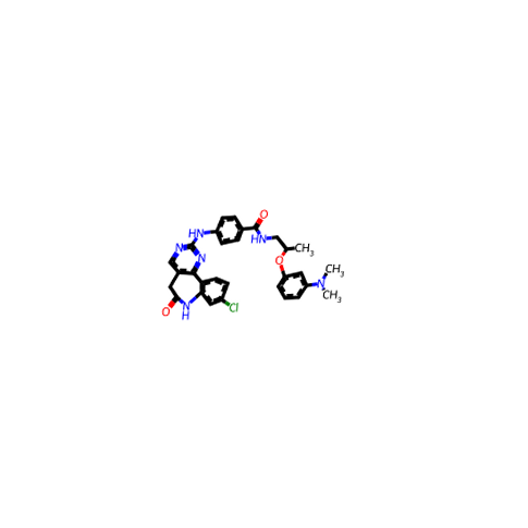 CC(CNC(=O)c1ccc(Nc2ncc3c(n2)-c2ccc(Cl)cc2NC(=O)C3)cc1)Oc1cccc(N(C)C)c1